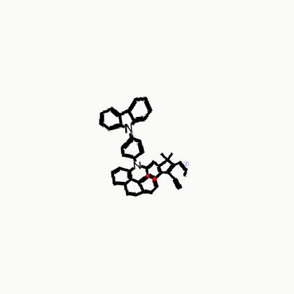 C#CC1=C(/C=C\C)C(C)(C)c2cc(N(c3ccc(-n4c5ccccc5c5ccccc54)cc3)c3cccc4ccc5ccccc5c34)ccc21